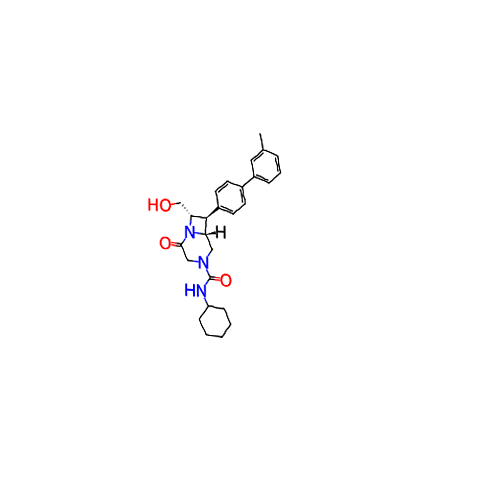 Cc1cccc(-c2ccc([C@@H]3[C@@H](CO)N4C(=O)CN(C(=O)NC5CCCCC5)C[C@@H]34)cc2)c1